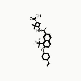 CC[C@H]1CC[C@@H](Oc2ccc3ccc([C@H](C)N[C@@H]4C[C@@H](C(=O)O)C4(C)C)cc3c2C(F)(F)F)CC1